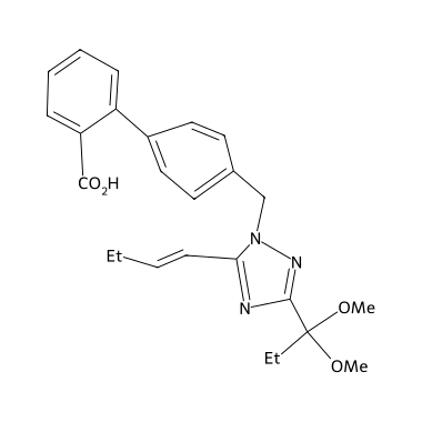 CCC=Cc1nc(C(CC)(OC)OC)nn1Cc1ccc(-c2ccccc2C(=O)O)cc1